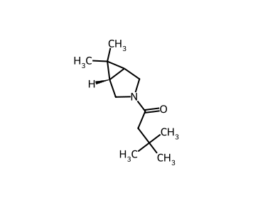 CC(C)(C)CC(=O)N1CC2[C@H](C1)C2(C)C